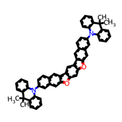 CC1(C)c2ccccc2N(c2ccc3cc4c(cc3c2)oc2cc3oc5cc6cc(N7c8ccccc8C(C)(C)c8ccccc87)ccc6cc5c3cc24)c2ccccc21